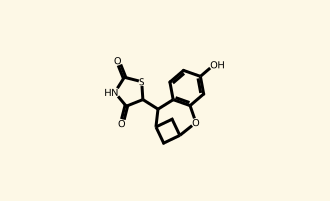 O=C1NC(=O)C(C2c3ccc(O)cc3OC3CC2C3)S1